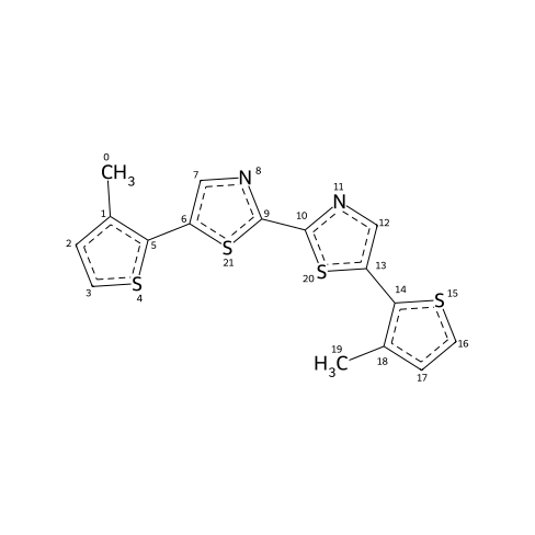 Cc1ccsc1-c1cnc(-c2ncc(-c3sccc3C)s2)s1